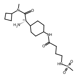 CN(C(=O)[C@@H](N)C1CCC(NC(=O)CCCNS(C)(=O)=O)CC1)C1CCC1